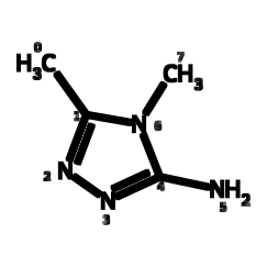 Cc1nnc(N)n1C